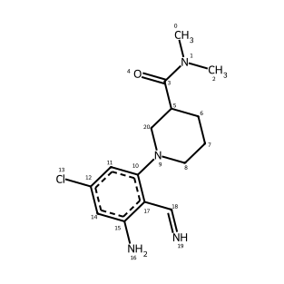 CN(C)C(=O)C1CCCN(c2cc(Cl)cc(N)c2C=N)C1